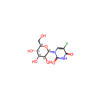 O=c1[nH]c(=O)n([C@@H]2O[C@H](CO)[C@@H](O)[C@H](O)[C@@H]2O)cc1F